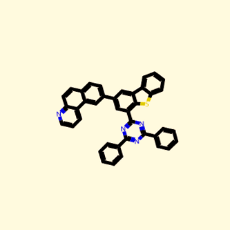 c1ccc(-c2nc(-c3ccccc3)nc(-c3cc(-c4ccc5ccc6ncccc6c5c4)cc4c3sc3ccccc34)n2)cc1